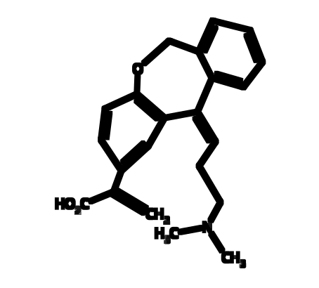 C=C(C(=O)O)c1ccc2c(c1)/C(=C\CCN(C)C)c1ccccc1CO2